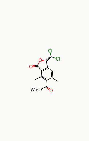 COC(=O)c1c(C)cc2c(c1C)C(=O)OC2=C(Cl)Cl